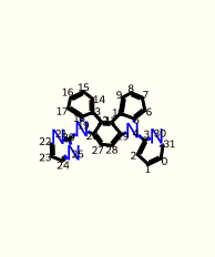 c1ccc(-n2c3ccccc3c3c4c5ccccc5n(-c5ncccn5)c4ccc32)nc1